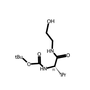 CC(C)[C@H](NC(=O)OC(C)(C)C)C(=O)NCCO